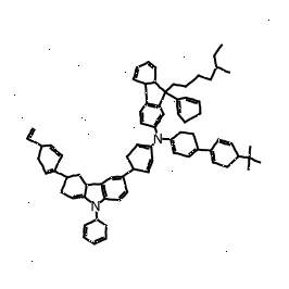 C=CC1C=CC(C2CC=C3C(C2)c2cc(C4C=CC(N(C5=CC=C(C6=CCC(C(C)(C)C)C=C6)CC5)c5ccc6c(c5)C(CCCCC(C)CC)(C5=CCCC=C5)C5C=CC=CC65)=CC4)ccc2N3C2C=CC=CC2)=CC1